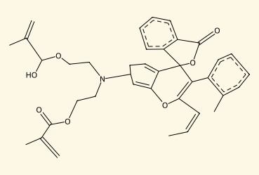 C=C(C)C(=O)OCCN(CCOC(O)C(=C)C)C1C=C2OC(/C=C\C)=C(c3ccccc3C)C3(OC(=O)c4ccccc43)C2=CC1